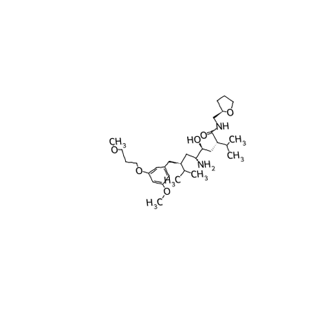 COCCCOc1cc(C[C@@H](C[C@H](N)[C@@H](O)C[C@H](C(=O)NC[C@H]2CCCO2)C(C)C)C(C)C)cc(OC)c1